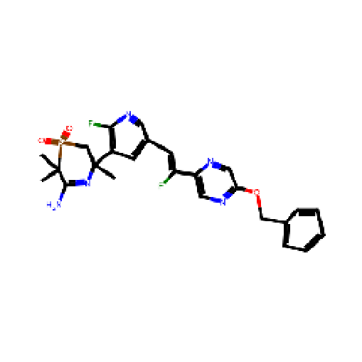 CC1(c2cc(C=C(F)c3cnc(OCc4ccccc4)cn3)cnc2F)CS(=O)(=O)C(C)(C)C(N)=N1